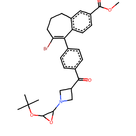 COC(=O)c1ccc2c(c1)CCCC(Br)=C2c1ccc(C(=O)C2CN(C3OC3OC(C)(C)C)C2)cc1